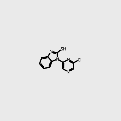 Sc1nc2ccccc2n1-c1cncc(Cl)n1